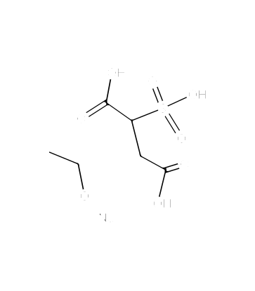 CC[O-].O=C(O)CC(C(=O)O)S(=O)(=O)O.[Na+]